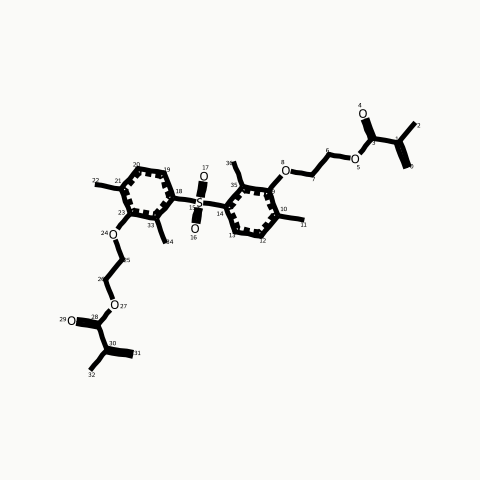 C=C(C)C(=O)OCCOc1c(C)ccc(S(=O)(=O)c2ccc(C)c(OCCOC(=O)C(=C)C)c2C)c1C